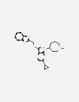 CN1CCCC(n2nc(NCc3nc4ccccc4[nH]3)c3ncc(C4CC4)nc32)CC1